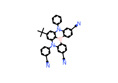 CC(C)(C)c1cc2c3c(c1)N(c1cccc(C#N)c1)c1cc(C#N)ccc1B3c1ccc(C#N)cc1N2c1ccccc1